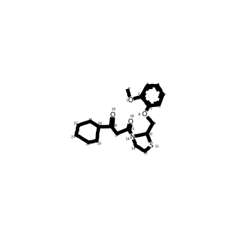 COc1ccccc1OCC1SCCN1C(=O)CC(=O)C1CCCCC1